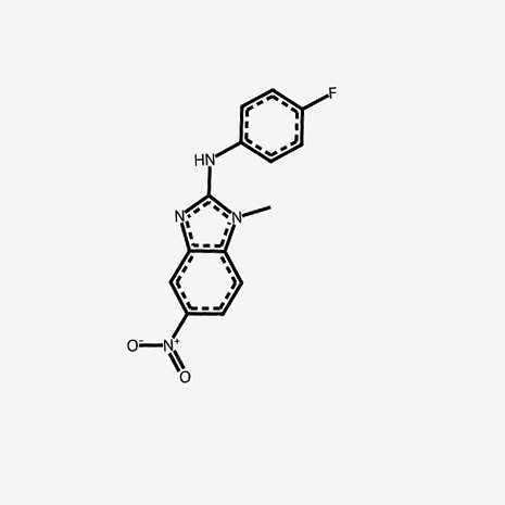 Cn1c(Nc2ccc(F)cc2)nc2cc([N+](=O)[O-])ccc21